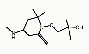 C=C1CC(NC)CC(C)(C)N1OCC(C)(C)O